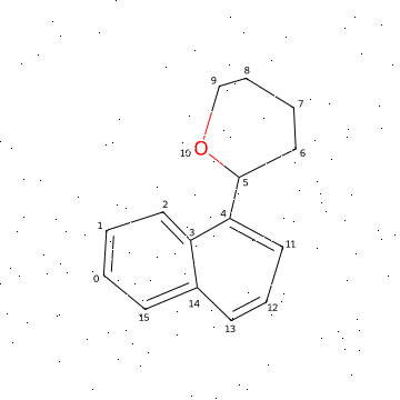 c1ccc2c(C3CCCCO3)cccc2c1